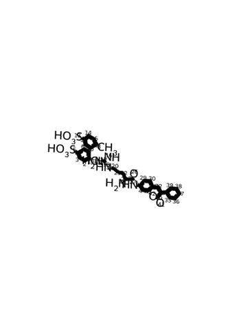 Cc1ccc(S(=O)(=O)O)cc1.Cc1ccc(S(=O)(=O)O)cc1.N=C(N)NCCC[C@H](N)C(=O)Nc1ccc2cc(-c3ccccc3)c(=O)oc2c1